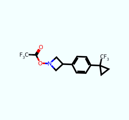 O=C(ON1CC(c2ccc(C3(C(F)(F)F)CC3)cc2)C1)C(F)(F)F